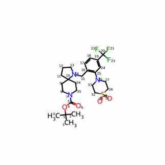 CC(C)(C)OC(=O)N1CCC2(CCCN2Cc2ccc(C(F)(F)F)cc2N2CCS(=O)(=O)CC2)CC1